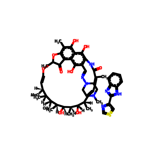 CO[C@H]1/C=C/O[C@@]2(C)Oc3c(C)c(O)c4c(O)c(c(/C=N/N5CCN(C)CC5)c(O)c4c3C2=O)NC(=O)/C(C)=C\C=C\[C@H](C)[C@H](O)[C@@H](C)[C@@H](O)[C@@H](C)[C@H](OC(C)=O)[C@@H]1C.c1ccc2[nH]c(-c3cscn3)nc2c1